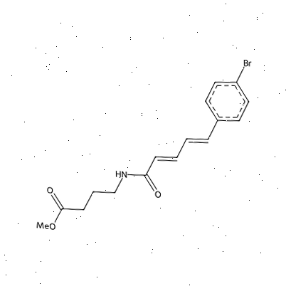 COC(=O)CCCNC(=O)/C=C/C=C/c1ccc(Br)cc1